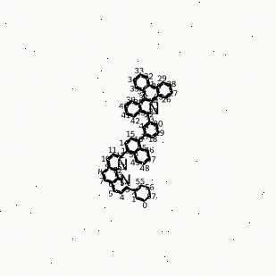 C1=CC(c2ccc3ccc4ccc(-c5ccc(-c6cccc(-c7nc8c9ccccc9c9ccccc9c8c8ccccc78)c6)c6ccccc56)nc4c3n2)=CCC1